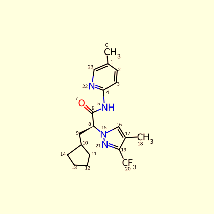 Cc1ccc(NC(=O)[C@H](CC2CCCC2)n2cc(C)c(C(F)(F)F)n2)nc1